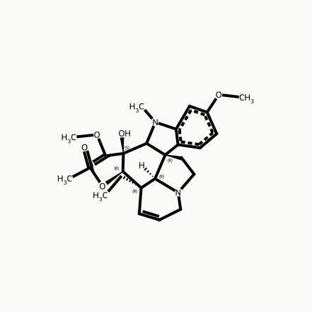 CC[C@]12C=CCN3CC[C@@]4(c5ccc(OC)cc5N(C)C4[C@@](O)(C(=O)OC)[C@@H]1OC(C)=O)[C@@H]32